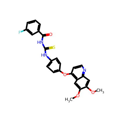 COc1cc2nccc(Oc3ccc(NC(=S)NC(=O)c4cccc(F)c4)cc3)c2cc1OC